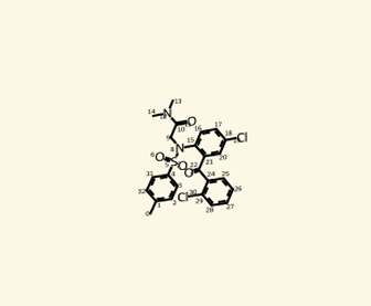 Cc1ccc(S(=O)(=O)N(CC(=O)N(C)C)c2ccc(Cl)cc2C(=O)c2ccccc2Cl)cc1